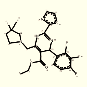 CCOC(=O)C1=C(CN2CCC(F)(F)C2)NC(c2nccs2)=NC1c1ccc(F)c(F)c1F